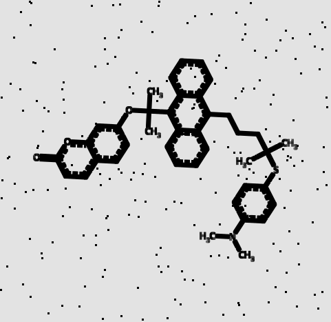 CN(C)c1ccc(SC(C)(C)CCCc2c3ccccc3c(C(C)(C)Oc3ccc4ccc(=O)oc4c3)c3ccccc23)cc1